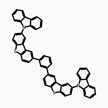 c1cc(-c2ccc3sc4ccc(-n5c6ccccc6c6ccccc65)cc4c3c2)cc(-c2ccc3sc4ccc(-n5c6ccccc6c6ccccc65)cc4c3c2)c1